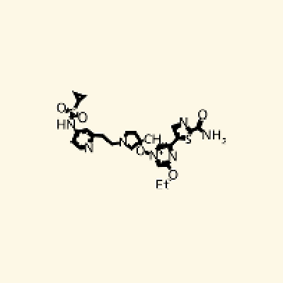 CCOc1c[n+](O[C@@]2(C)CCN(CCc3cc(NS(=O)(=O)C4CC4)ccn3)C2)cc(-c2cnc(C(N)=O)s2)n1